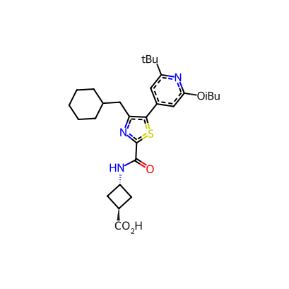 CC(C)COc1cc(-c2sc(C(=O)N[C@H]3C[C@H](C(=O)O)C3)nc2CC2CCCCC2)cc(C(C)(C)C)n1